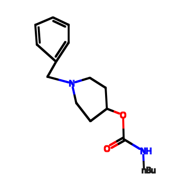 CCCCNC(=O)OC1CCN(Cc2ccccc2)CC1